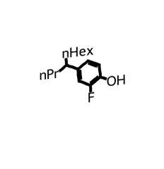 CCCCCCC(CCC)c1ccc(O)c(F)c1